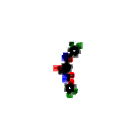 O=C(COc1ccc(Cl)c(F)c1)NC12CCC(c3nnc(-c4ccc(Cl)c(F)c4)o3)(CC1)C[C@@H]2O